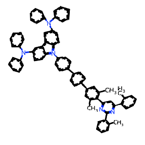 Cc1ccccc1-c1cc(-c2c(C)cc(-c3ccc(-c4ccc(-n5c6ccc(N(c7ccccc7)c7ccccc7)cc6c6cc(N(c7ccccc7)c7ccccc7)ccc65)cc4)cc3)cc2C)nc(-c2ccccc2C)n1